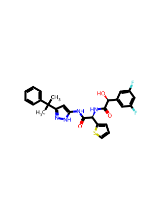 CC(C)(c1ccccc1)c1cc(NC(=O)[C@@H](NC(=O)[C@@H](O)c2cc(F)cc(F)c2)c2cccs2)[nH]n1